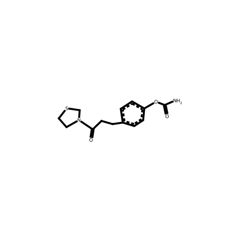 NC(=O)Oc1ccc(C[CH]C(=O)N2CCSC2)cc1